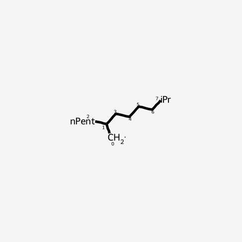 [CH2]C(CCCCC)CCCCC(C)C